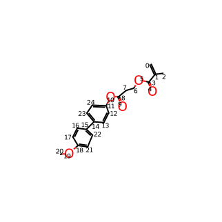 C=C(C)C(=O)OCCC(=O)Oc1ccc(-c2ccc(OC)cc2)cc1